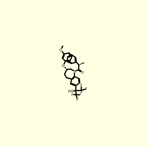 COc1cccc(O[C@@H]2CCc3cc(C(O)(C(F)(F)F)C(F)(F)F)ccc3N(C(=O)[C@H](C)c3ccccc3)C2)c1